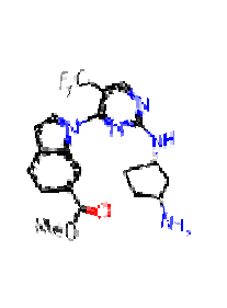 COC(=O)c1ccc2ccn(-c3nc(N[C@H]4CC[C@H](N)C4)ncc3C(F)(F)F)c2c1